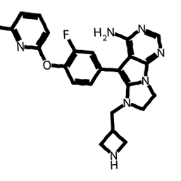 Cc1cccc(Oc2ccc(-c3c4n(c5ncnc(N)c35)CCN4CC3CNC3)cc2F)n1